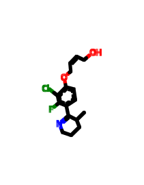 CC1CCCN=C1c1ccc(OC/C=C\CO)c(Cl)c1F